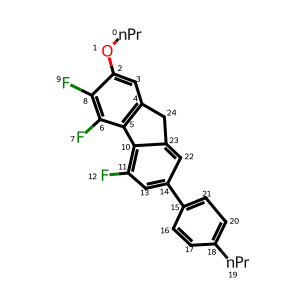 CCCOc1cc2c(c(F)c1F)-c1c(F)cc(-c3ccc(CCC)cc3)cc1C2